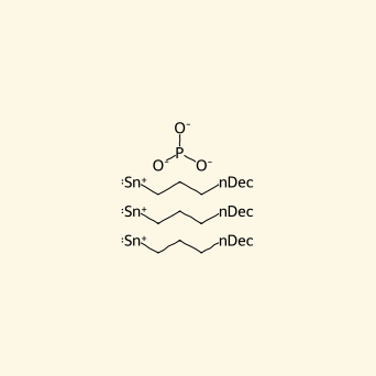 CCCCCCCCCCCC[CH2][Sn+].CCCCCCCCCCCC[CH2][Sn+].CCCCCCCCCCCC[CH2][Sn+].[O-]P([O-])[O-]